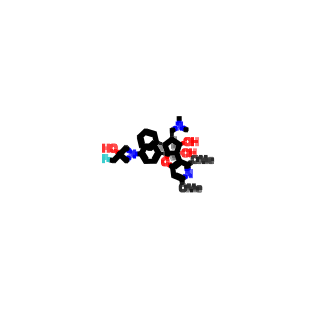 COc1cc2c(c(OC)n1)[C@]1(O)[C@H](O)[C@H](CN(C)C)[C@@H](c3ccccc3)[C@]1(c1ccc(N3CC(O)(CF)C3)cc1)O2